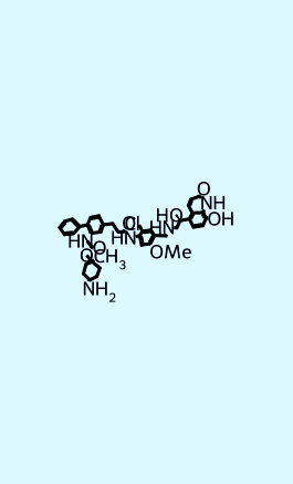 COc1cc(NC(=O)CCc2ccc(-c3ccccc3)c(NC(=O)OC3(C)CCC(N)CC3)c2)c(Cl)cc1CNC[C@@H](O)c1ccc(O)c2[nH]c(=O)ccc12